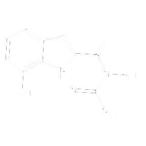 CN(C(=N)N)C(=O)c1cc2cccc(O)c2[nH]1